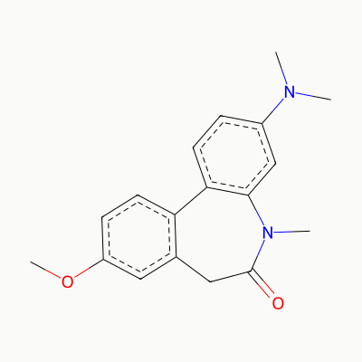 COc1ccc2c(c1)CC(=O)N(C)c1cc(N(C)C)ccc1-2